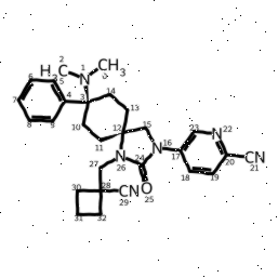 CN(C)[C@]1(c2ccccc2)CC[C@@]2(CC1)CN(c1ccc(C#N)nc1)C(=O)N2CC1(C#N)CCC1